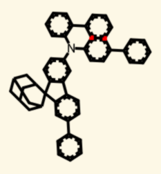 c1ccc(-c2ccc(N(c3ccc4c(c3)-c3ccc(-c5ccccc5)cc3C43C4CC5CC(C4)CC3C5)c3ccccc3-c3ccccc3)cc2)cc1